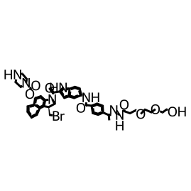 C/C(=N\NC(=O)CCOCCOCCO)c1ccc(C(=O)Nc2ccc3[nH]c(C(=O)N4C[C@@H](CBr)c5c4cc(OC(=O)N4CCNCC4)c4ccccc54)cc3c2)cc1